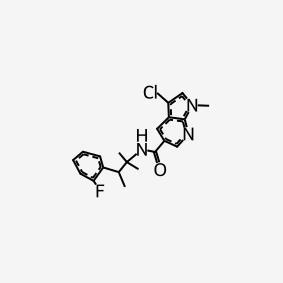 CC(c1ccccc1F)C(C)(C)NC(=O)c1cnc2c(c1)c(Cl)cn2C